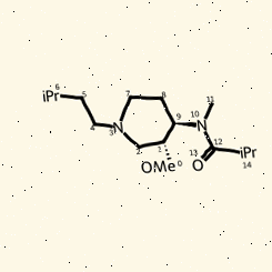 CO[C@@H]1CN(CCC(C)C)CC[C@H]1N(C)C(=O)C(C)C